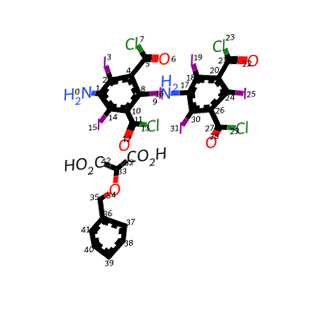 Nc1c(I)c(C(=O)Cl)c(I)c(C(=O)Cl)c1I.Nc1c(I)c(C(=O)Cl)c(I)c(C(=O)Cl)c1I.O=C(O)C(OCc1ccccc1)C(=O)O